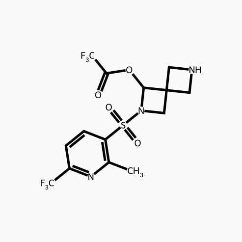 Cc1nc(C(F)(F)F)ccc1S(=O)(=O)N1CC2(CNC2)C1OC(=O)C(F)(F)F